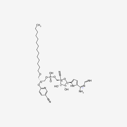 CCCCCCCCCCCCCCOC[C@H](COP(=O)(O)OC[C@@]1(C#N)O[C@@H](c2ccc(/C(N)=N\C=N)[nH]2)[C@H](O)[C@@H]1O)Oc1ccc(C#N)cn1